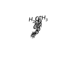 C=C(C)C(=O)OC1COC2C(OCOC3CC4CCC3C4)COC12